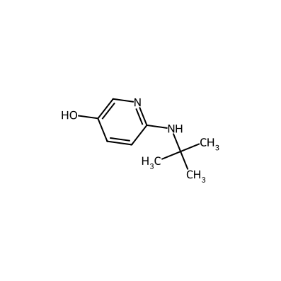 CC(C)(C)Nc1ccc(O)cn1